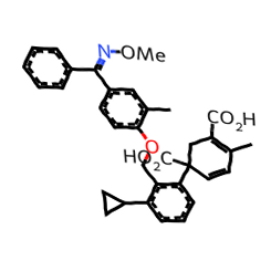 CON=C(c1ccccc1)c1ccc(OCc2c(C3CC3)cccc2C2(C(=O)O)C=CC(C)=C(C(=O)O)C2)c(C)c1